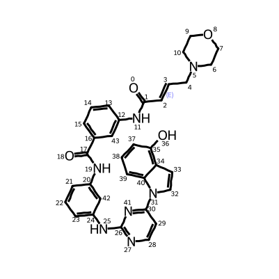 O=C(/C=C/CN1CCOCC1)Nc1cccc(C(=O)Nc2cccc(Nc3nccc(-n4ccc5c(O)cccc54)n3)c2)c1